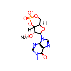 O=c1[nH]cnc2c1ncn2[C@@H]1O[C@@H]2COP(=O)([O-])O[C@H]2[C@H]1O.[Na+]